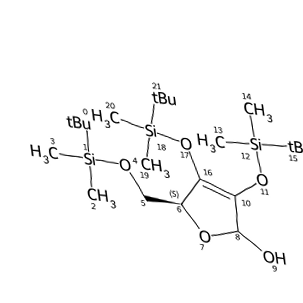 CC(C)(C)[Si](C)(C)OC[C@@H]1OC(O)C(O[Si](C)(C)C(C)(C)C)=C1O[Si](C)(C)C(C)(C)C